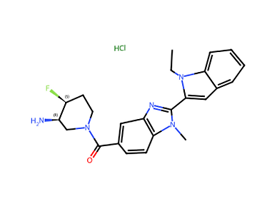 CCn1c(-c2nc3cc(C(=O)N4CC[C@H](F)[C@H](N)C4)ccc3n2C)cc2ccccc21.Cl